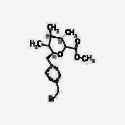 COC(=O)C1O[C@@H](Cc2ccc(CBr)cc2)C(C)[C@@H](C)[C@@H]1C